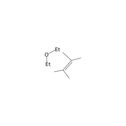 CC(C)=C(C)C.CCOCC